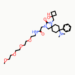 COCCOCCOCCOCCNC(=O)CN1CC2(CCC(c3ccccc3)(N(C)C)CC2)N(CC2(O)CCC2)C1=O